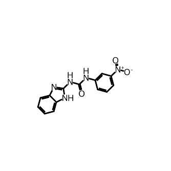 O=C(Nc1cccc([N+](=O)[O-])c1)Nc1nc2ccccc2[nH]1